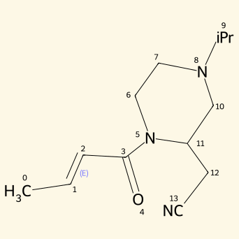 C/C=C/C(=O)N1CCN(C(C)C)CC1CC#N